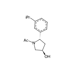 CC(=O)N1C[C@H](O)C[C@H]1c1cccc(C(C)C)c1